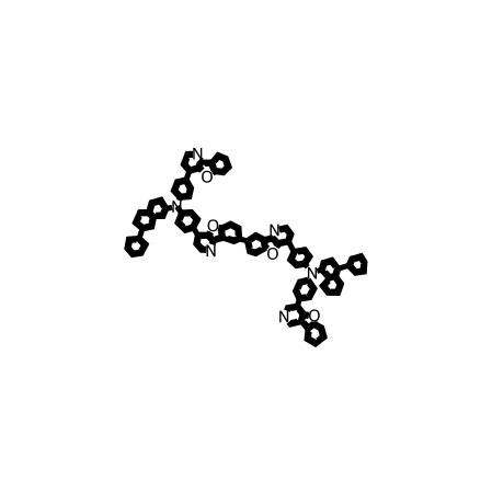 c1ccc(-c2ccc3ccc(N(c4ccc(-c5ccnc6c5oc5ccccc56)cc4)c4ccc(-c5ccnc6c5oc5ccc(-c7ccc8oc9c(-c%10ccc(N(c%11ccc(-c%12cncc%13c%12oc%12ccccc%12%13)cc%11)c%11ccc(-c%12ccccc%12)c%12ccccc%11%12)cc%10)ccnc9c8c7)cc56)cc4)cc3c2)cc1